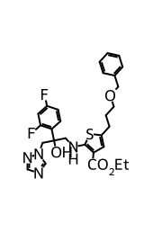 CCOC(=O)c1cc(CCCOCc2ccccc2)sc1NCC(O)(Cn1cncn1)c1ccc(F)cc1F